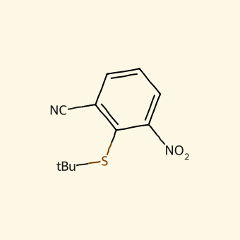 CC(C)(C)Sc1c(C#N)cccc1[N+](=O)[O-]